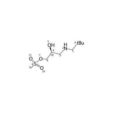 CC(C)(C)CNC[C@H](O)COS(C)(=O)=O